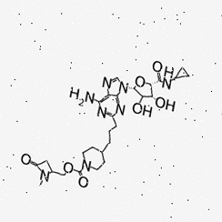 CN1C(=O)CC1COC(=O)N1CCC(CCCc2nc(N)c3ncn([C@@H]4O[C@H](C(=O)NC5CC5)[C@H](O)C4O)c3n2)CC1